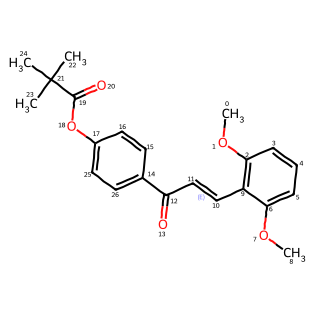 COc1cccc(OC)c1/C=C/C(=O)c1ccc(OC(=O)C(C)(C)C)cc1